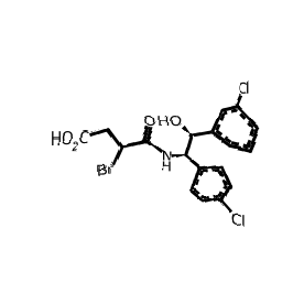 O=C(O)CC(Br)C(=O)N[C@H](c1ccc(Cl)cc1)[C@@H](O)c1cccc(Cl)c1